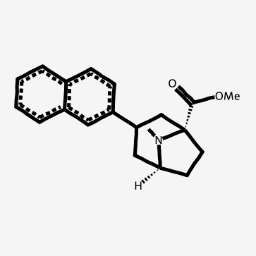 COC(=O)[C@@]12CC[C@@H](CC(c3ccc4ccccc4c3)C1)N2C